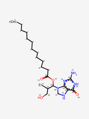 CCCCCCCCCCCCCCCCCCCCCC(=O)OC(C(CC)CO)N1CNc2c1nc(N)[nH]c2=O